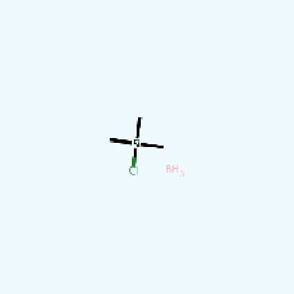 B.C[Si](C)(C)Cl